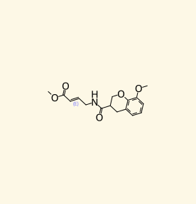 COC(=O)/C=C/CNC(=O)C1COc2c(cccc2OC)C1